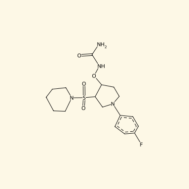 NC(=O)NOC1CCN(c2ccc(F)cc2)CC1S(=O)(=O)N1CCCCC1